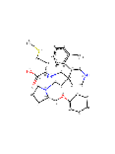 CSCC[C@H](NCC1(CCN2CCC[C@H]2COC2CCCCC2)CCNCC1c1ccccc1C)C(=O)O